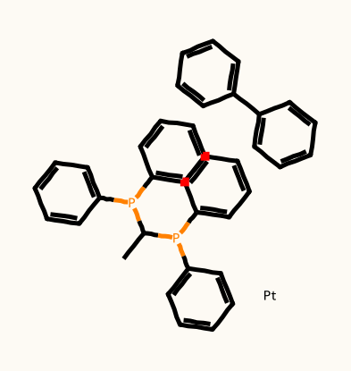 CC(P(c1ccccc1)c1ccccc1)P(c1ccccc1)c1ccccc1.[Pt].c1ccc(-c2ccccc2)cc1